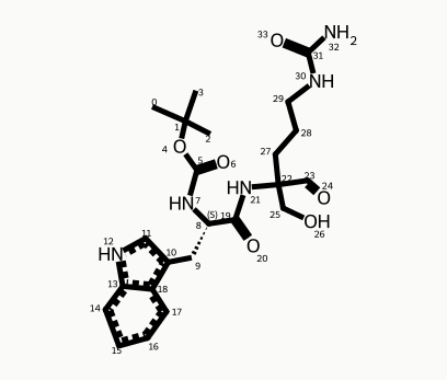 CC(C)(C)OC(=O)N[C@@H](Cc1c[nH]c2ccccc12)C(=O)NC(C=O)(CO)CCCNC(N)=O